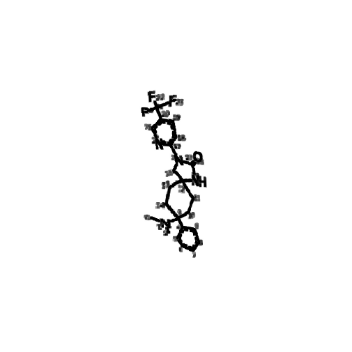 CN(C)C1(c2ccccc2)CCC2(CC1)CN(c1ccc(C(F)(F)F)cn1)C(=O)N2